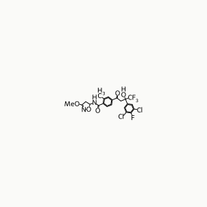 COC1=NOC(NC(=O)c2ccc(C(=O)CC(O)(c3cc(Cl)c(F)c(Cl)c3)C(F)(F)F)cc2C)C1